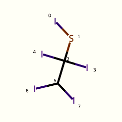 ISC(I)(I)C(I)I